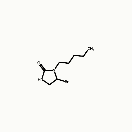 CCCCCN1C(=O)NCC1Br